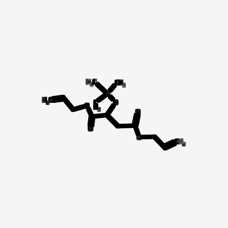 C=CCOC(=O)CC(O[Si](C)(C)C)C(=O)OCC=C